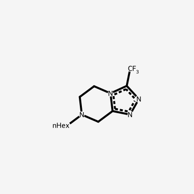 CCCCCCN1CCn2c(nnc2C(F)(F)F)C1